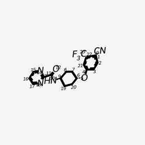 N#Cc1ccc(O[C@H]2CC[C@H](NC(=O)c3ncccn3)CC2)cc1C(F)(F)F